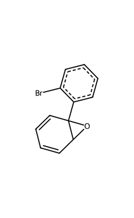 Brc1ccccc1C12C=CC=CC1O2